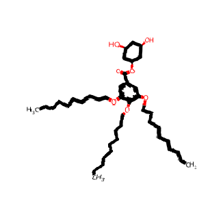 CCCCCCCCCCOc1cc(C(=O)O[C@@H]2C[C@H](O)C[C@H](O)C2)cc(OCCCCCCCCCC)c1OCCCCCCCCCC